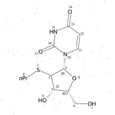 CCCSC1[C@@H](O)[C@@H](CO)O[C@H]1n1ccc(=O)[nH]c1=O